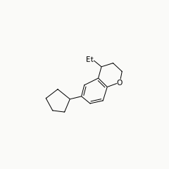 CCC1CCOc2ccc(C3CCCC3)cc21